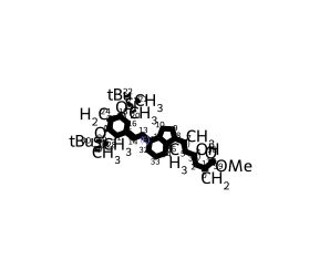 C=C(C[C@H](O)C[C@@H](C)C1CCC2/C(=C/C=C3C[C@@H](O[Si](C)(C)C(C)(C)C)C(=C)[C@H](O[Si](C)(C)C(C)(C)C)C3)CCC[C@@]21C)C(=O)OC